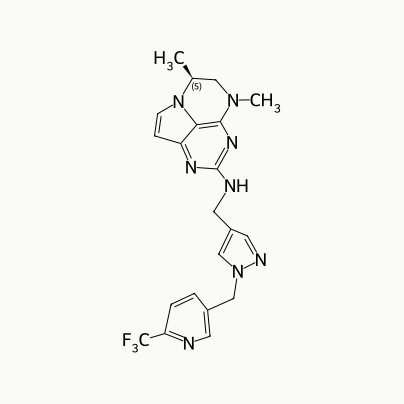 C[C@H]1CN(C)c2nc(NCc3cnn(Cc4ccc(C(F)(F)F)nc4)c3)nc3ccn1c23